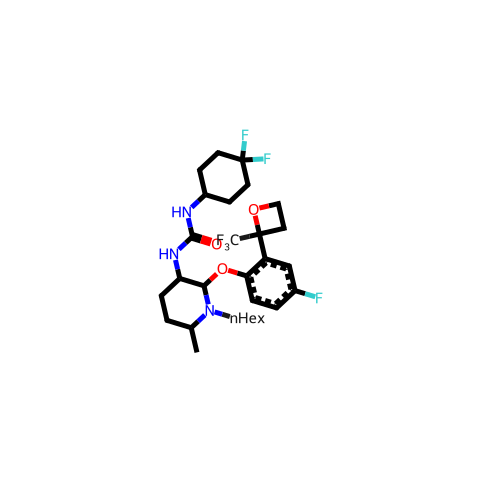 CCCCCCN1C(C)CCC(NC(=O)NC2CCC(F)(F)CC2)C1Oc1ccc(F)cc1C1(C(F)(F)F)CCO1